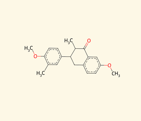 COc1ccc2c(c1)C(=O)C(C)C(c1ccc(OC)c(C)c1)C2